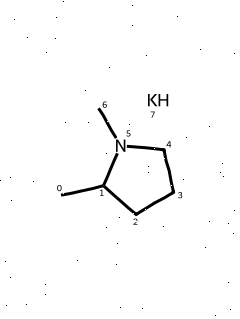 CC1CCCN1C.[KH]